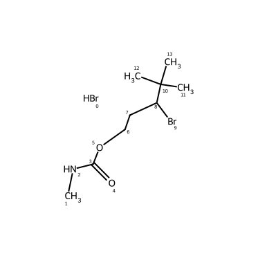 Br.CNC(=O)OCCC(Br)C(C)(C)C